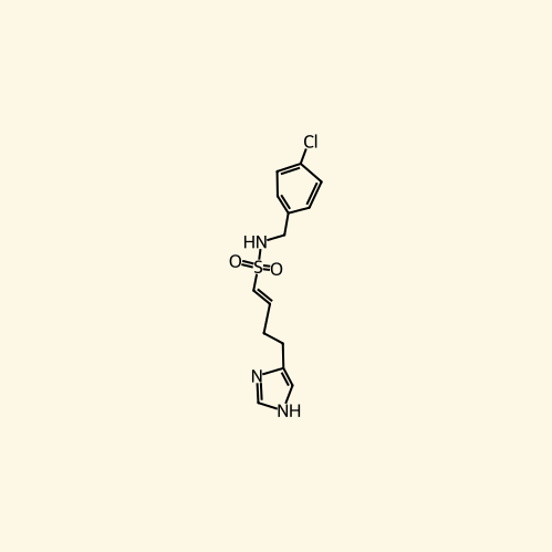 O=S(=O)(C=CCCc1c[nH]cn1)NCc1ccc(Cl)cc1